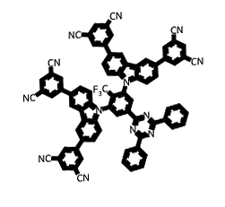 N#Cc1cc(C#N)cc(-c2ccc3c(c2)c2cc(-c4cc(C#N)cc(C#N)c4)ccc2n3-c2cc(-c3nc(-c4ccccc4)nc(-c4ccccc4)n3)cc(-n3c4ccc(-c5cc(C#N)cc(C#N)c5)cc4c4cc(-c5cc(C#N)cc(C#N)c5)ccc43)c2C(F)(F)F)c1